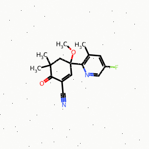 COC1(c2ncc(F)cc2C)C=C(C#N)C(=O)C(C)(C)C1